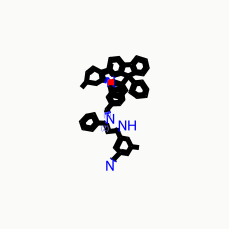 CC1C=C(C#N)C=C(C(=N)/C=C(\N=C\c2cccc(-n3c4c(c5ccc6c(c53)C(c3ccccc3)(c3ccccc3)c3ccccc3-6)C=CC(C)C4)c2)c2ccccc2)C1